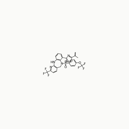 C=C(C)c1nc(-c2cccc3c2N(S(=O)(=O)c2ccc(OC(F)(F)F)cc2)Cc2ccc(C(F)(F)F)nc2N3)no1